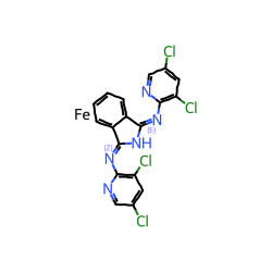 Clc1cnc(/N=C2\N/C(=N/c3ncc(Cl)cc3Cl)c3ccccc32)c(Cl)c1.[Fe]